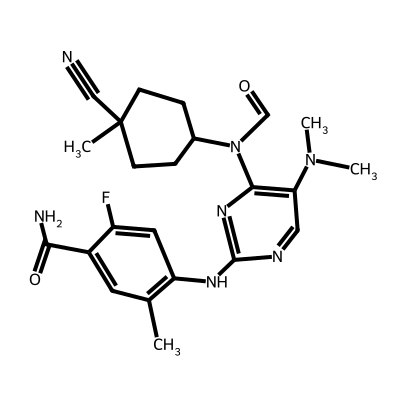 Cc1cc(C(N)=O)c(F)cc1Nc1ncc(N(C)C)c(N(C=O)C2CCC(C)(C#N)CC2)n1